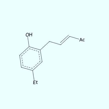 CCc1ccc(O)c(C/C=C/C(C)=O)c1